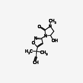 C#CC(C)(C)c1cc(N2C(=O)N(C)CC2O)no1